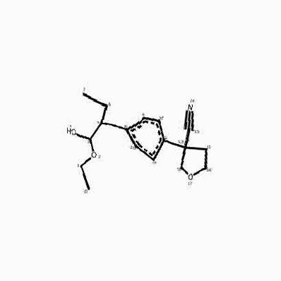 CCOC(O)C(CC)c1ccc(C2(C#N)CCOC2)cc1